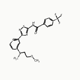 COCCN(C)c1ccnc(-c2nsc(NC(=O)c3ccc(C(F)(F)F)cc3)n2)c1